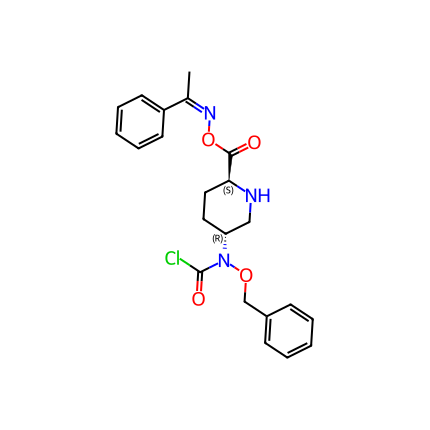 CC(=NOC(=O)[C@@H]1CC[C@@H](N(OCc2ccccc2)C(=O)Cl)CN1)c1ccccc1